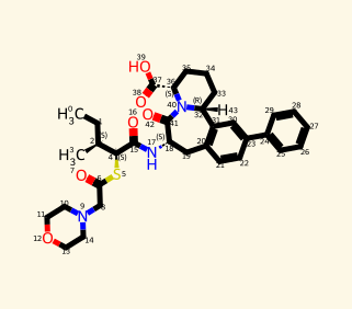 CC[C@H](C)[C@H](SC(=O)CN1CCOCC1)C(=O)N[C@H]1Cc2ccc(-c3ccccc3)cc2[C@H]2CCC[C@@H](C(=O)O)N2C1=O